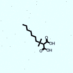 CCCCCCCC(C)(C)C(C(=O)O)C(=O)O